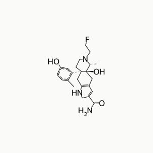 Cc1ccc(O)cc1[C@]12CCN(CCF)[C@H](C)[C@]1(O)CC1=C(C2)NCC(C(N)=O)=C1